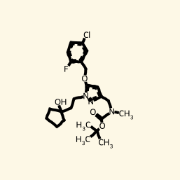 CN(Cc1cc(OCc2cc(Cl)ccc2F)n(CCC2(O)CCCC2)n1)C(=O)OC(C)(C)C